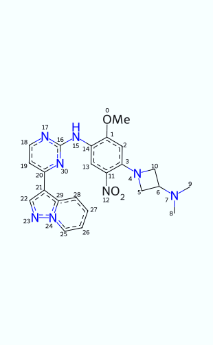 COc1cc(N2CC(N(C)C)C2)c([N+](=O)[O-])cc1Nc1nccc(-c2cnn3ccccc23)n1